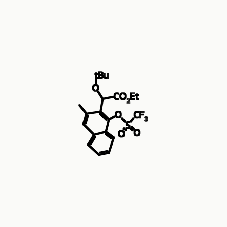 CCOC(=O)C(OC(C)(C)C)c1c(C)cc2ccccc2c1OS(=O)(=O)C(F)(F)F